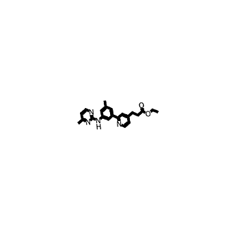 CCOC(=O)CCc1ccnc(-c2cc(C)cc(Nc3nccc(C)n3)c2)c1